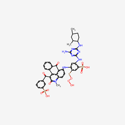 CC1CCC(Nc2nc(N)nc(Nc3cc(Nc4ccc5c6c4C(=O)c4ccccc4-c6c(C(=O)c4cccc(S(=O)(=O)O)c4)c(=O)n5C)c(SOOO)cc3S(=O)(=O)O)n2)C(C)C1